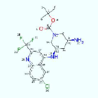 CC(C)(C)OC(=O)N1C[C@@H](N)C[C@@H](Nc2cc(C(F)(F)F)nc3ccc(Cl)cc23)C1